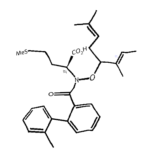 C/C=C(\C)C(CC=C(C)C)ON(C(=O)c1ccccc1-c1ccccc1C)[C@@H](CCSC)C(=O)O